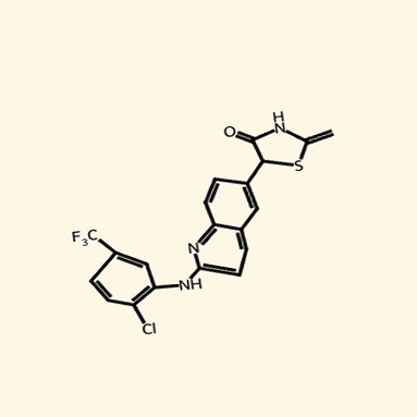 C=C1NC(=O)C(c2ccc3nc(Nc4cc(C(F)(F)F)ccc4Cl)ccc3c2)S1